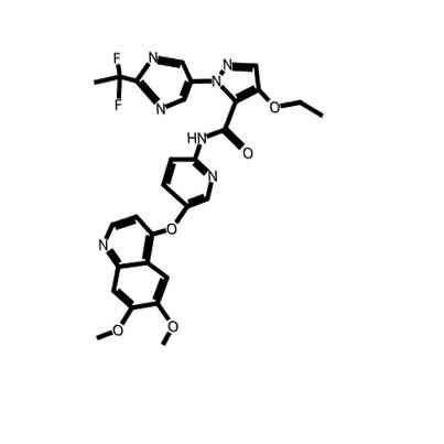 CCOc1cnn(-c2cnc(C(C)(F)F)nc2)c1C(=O)Nc1ccc(Oc2ccnc3cc(OC)c(OC)cc23)cn1